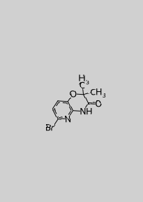 CC1(C)Oc2ccc(Br)nc2NC1=O